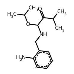 CC(C)OC(NCc1ccc[c]c1N)C(=O)C(C)C